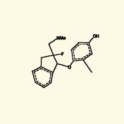 CNCC1(F)Cc2ccccc2C1Oc1ccc(O)cc1C